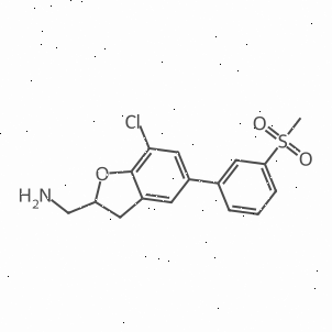 CS(=O)(=O)c1cccc(-c2cc(Cl)c3c(c2)CC(CN)O3)c1